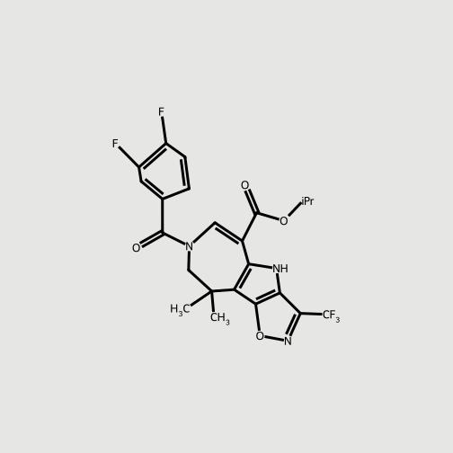 CC(C)OC(=O)C1=CN(C(=O)c2ccc(F)c(F)c2)CC(C)(C)c2c1[nH]c1c(C(F)(F)F)noc21